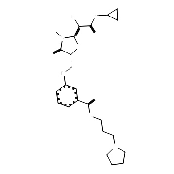 CCN1C(=O)[C@@H](CNc2cccc(C(=O)NCCCN3CCCC3)c2)S/C1=C(/N)C(=O)NC1CC1